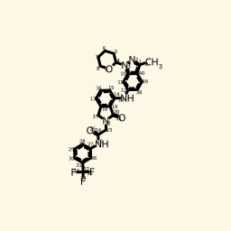 Cc1nn(C2CCCCO2)c2cc(Nc3cccc4c3C(=O)N(CC(=O)Nc3cccc(C(F)(F)F)c3)C4)ccc12